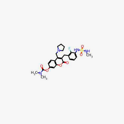 CNS(=O)(=O)Nc1cccc(Cc2c(CN3CCCC3)c3ccc(OC(=O)N(C)C)cc3oc2=O)c1F